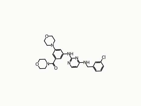 O=C(c1cc(Nc2nccc(NCc3cccc(Cl)c3)n2)cc(N2CCOCC2)c1)N1CCOCC1